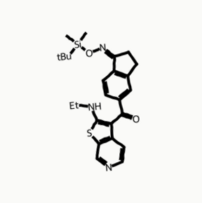 CCNc1sc2cnccc2c1C(=O)c1ccc2c(c1)CC/C2=N/O[Si](C)(C)C(C)(C)C